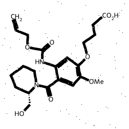 C=CCOC(=O)Nc1cc(OCCCC(=O)O)c(OC)cc1C(=O)N1CCCC[C@H]1CO